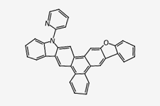 c1ccc(-n2c3ccccc3c3cc4c5ccccc5c5cc6c(cc5c4cc32)oc2ccccc26)nc1